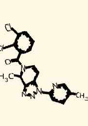 Cc1ccc(-n2nnc3c2C=CN(C(=O)c2cccc(Cl)c2Cl)C3C)nc1